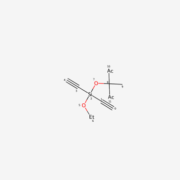 C#C[Si](C#C)(OCC)OC(C)(C(C)=O)C(C)=O